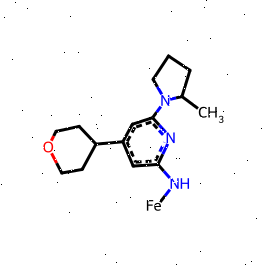 CC1CCCN1c1cc(C2CCOCC2)cc([NH][Fe])n1